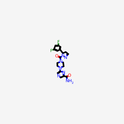 NC(=O)c1cncc(N2CCN(C(=O)N3N=CCC3c3cc(F)cc(F)c3)CC2)n1